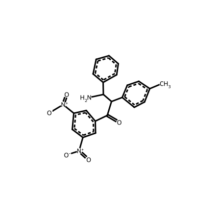 Cc1ccc(C(C(=O)c2cc([N+](=O)[O-])cc([N+](=O)[O-])c2)C(N)c2ccccc2)cc1